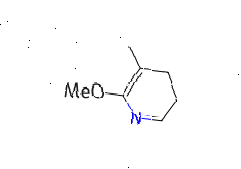 COC1=C(C)CCC=N1